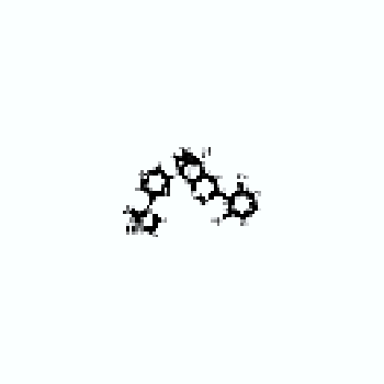 CC1(C)[C@H]2CC[C@]1(c1cncc(-n3cc[nH]c3=O)n1)c1nnc(-c3c(F)cccc3F)cc12